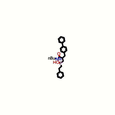 CCCCNC(=O)C(Cc1ccc(-c2ccccc2)cc1)CP(O)CCc1ccccc1